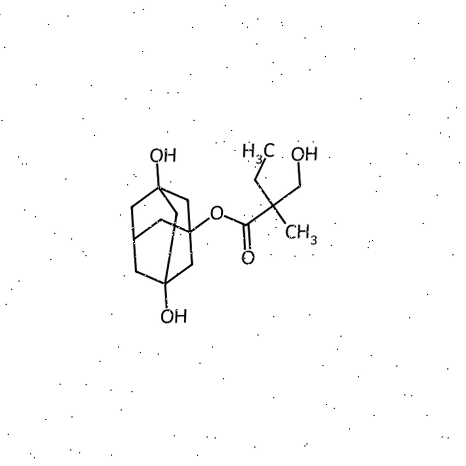 CCC(C)(CO)C(=O)OC12CC3CC(O)(CC(O)(C3)C1)C2